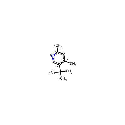 CCCCC(C)(C)c1cnc(C)cc1C